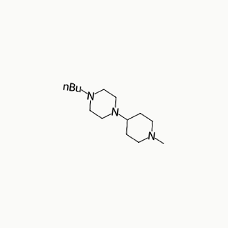 CCCCN1CCN(C2CCN(C)CC2)CC1